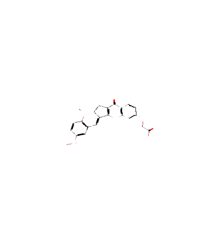 COc1ccc(OC)c(/C=C2\CCc3c2oc2cc(OCC(=O)O)ccc2c3=O)c1